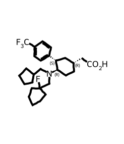 O=C(O)C[C@@H]1CC[C@@H](N(CC2CCCC2)CC2(F)CCCCC2)[C@H](c2ccc(C(F)(F)F)cc2)C1